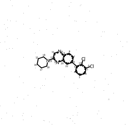 Clc1cccc(-c2ccc3ncc(N4CCCCC4)nc3c2)c1Cl